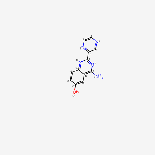 Nc1nc(-c2cnccn2)nc2ccc(O)cc12